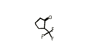 O=C1CCCC1C(F)(F)F